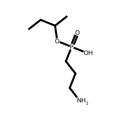 CCC(C)OP(=O)(O)CCCN